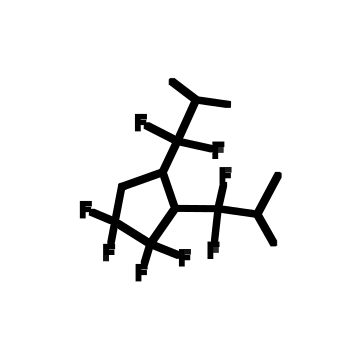 CC(C)C(F)(F)C1CC(F)(F)C(F)(F)C1C(F)(F)C(C)C